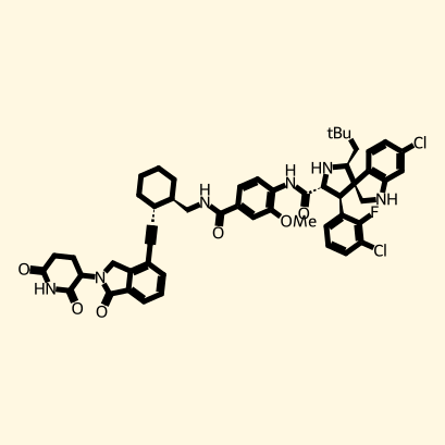 COc1cc(C(=O)NC[C@@H]2CCCC[C@H]2C#Cc2cccc3c2CN(C2CCC(=O)NC2=O)C3=O)ccc1NC(=O)[C@@H]1N[C@@H](CC(C)(C)C)[C@@]2(CNc3cc(Cl)ccc32)[C@H]1c1cccc(Cl)c1F